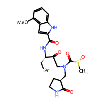 COc1cccc2[nH]c(C(=O)N[C@@H](CC(C)C)C(=O)CN(C[C@@H]3CCNC3=O)C(=O)[S+](C)[O-])cc12